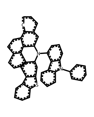 c1ccc(-n2c3ccccc3c3c(N(c4ccc5c(c4)sc4ccccc45)c4cc5ccccc5c5ccc6ccccc6c45)cccc32)cc1